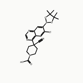 CC1(C)OB(c2cc3ncnc(C4(C#N)CCN(C(=O)O)CC4)c3cc2Cl)OC1(C)C